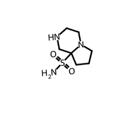 NS(=O)(=O)C12CCCN1CCNC2